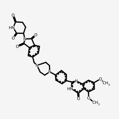 COc1cc(OC)c2c(=O)[nH]c(-c3ccc(N4CCN(Cc5ccc6c(c5)C(=O)N(C5CCC(=O)NC5=O)C6=O)CC4)cc3)nc2c1